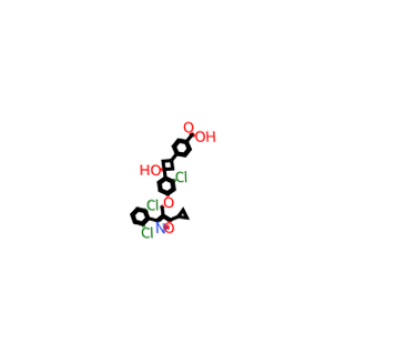 O=C(O)c1ccc(C2CC(O)(c3ccc(OCc4c(-c5c(Cl)cccc5Cl)noc4C4CC4)cc3Cl)C2)cc1